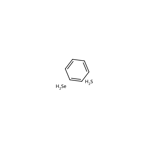 S.[SeH2].c1ccccc1